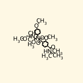 CCOc1ccc2c(c1)n(C(C)(C)COC)c(=O)n2S(=O)(=O)c1ccc(C(=O)NC(C)(C)C)cc1OC